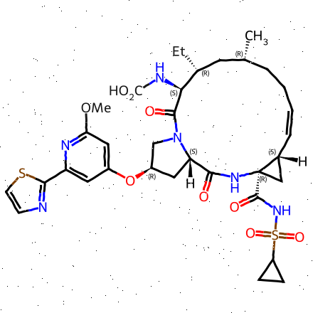 CC[C@@H]1C[C@H](C)CCC=C[C@@H]2C[C@@]2(C(=O)NS(=O)(=O)C2CC2)NC(=O)[C@@H]2C[C@@H](Oc3cc(OC)nc(-c4nccs4)c3)CN2C(=O)[C@H]1NC(=O)O